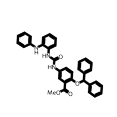 COC(=O)c1cc(NC(=O)Nc2ccccc2Nc2ccccc2)ccc1OC(c1ccccc1)c1ccccc1